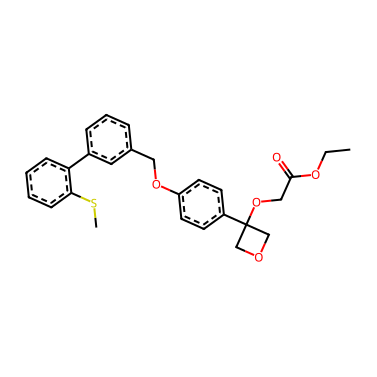 CCOC(=O)COC1(c2ccc(OCc3cccc(-c4ccccc4SC)c3)cc2)COC1